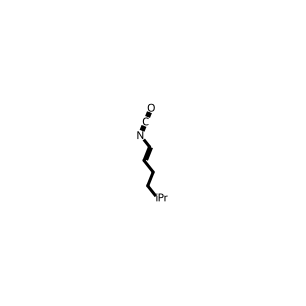 CC(C)CCC=CN=C=O